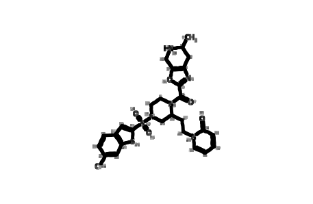 CC1Cc2nc(C(=O)N3CCN(S(=O)(=O)c4cc5ccc(Cl)cc5s4)CC3CCn3ccccc3=O)oc2CN1